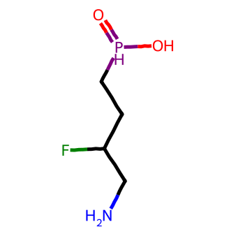 NCC(F)CC[PH](=O)O